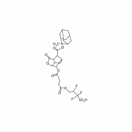 CC1(OC(=O)C2C3CC4C(OC(=O)C42)C3OC(=O)CCC(=O)OCC(F)C(F)(F)S(=O)(=O)O)C2CC3CC(C2)CC1C3